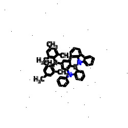 Cc1cc(C)c(B(c2cc3c4c(c2)N(c2ccccc2)c2ccccc2B4n2c4ccccc4c4cccc-3c42)c2c(C)cc(C)cc2C)c(C)c1